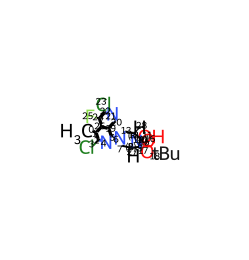 Cc1c(Cl)nc(N2C[C@H]3C[C@@H](O)[C@@H](C2)N3C(=O)OC(C)(C)C)c2cnc(Cl)c(F)c12